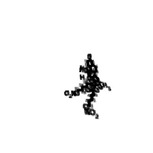 C[C@@H]1CC2C3CCC4=CC(=O)C=C[C@]4(C)[C@@]3(F)[C@@H](O)C[C@]2(C)[C@@]1(OC(=O)CCCCCO[N+](=O)[O-])C(=O)COC(=O)CCCCCO[N+](=O)[O-]